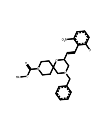 CC(C)(C)OC(=O)N1CCC2(CC1)CN(Cc1ccccc1)CC(C=Cc1c(F)cccc1[N+](=O)[O-])O2